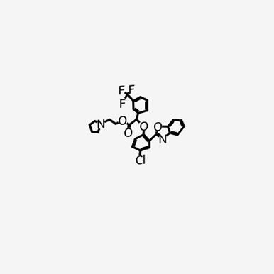 O=C(OCCN1CCCC1)C(Oc1ccc(Cl)cc1-c1nc2ccccc2o1)c1cccc(C(F)(F)F)c1